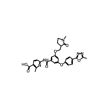 Cc1nnc(-c2ccc(Oc3cc(OCC4CCN(C)C4=O)cc(C(=O)Nc4ccc(C(=O)O)c(C)n4)c3)cc2)o1